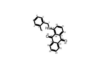 Cc1ccccc1CNc1cccc2c1C(=O)c1ccccc1C2=O